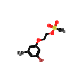 CS(=O)(=O)OCCOc1cc(Br)cc(C(F)(F)F)c1